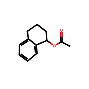 CC(=O)OC1CC[CH]c2ccccc21